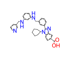 O=C(O)c1ccc2c(c1)nc(-c1cccc(CNc3cccc(NCc4cccnc4)c3)c1)n2C1CCCCC1